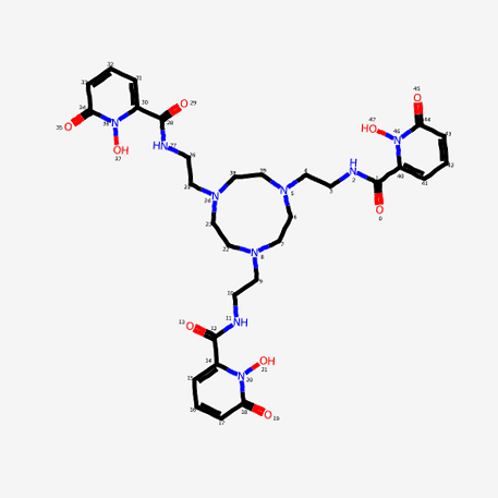 O=C(NCCN1CCN(CCNC(=O)c2cccc(=O)n2O)CCN(CCNC(=O)c2cccc(=O)n2O)CC1)c1cccc(=O)n1O